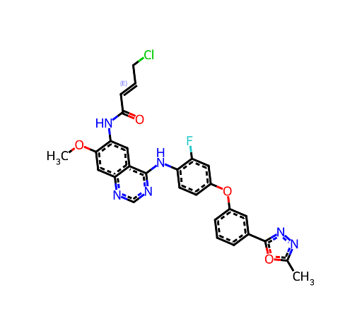 COc1cc2ncnc(Nc3ccc(Oc4cccc(-c5nnc(C)o5)c4)cc3F)c2cc1NC(=O)/C=C/CCl